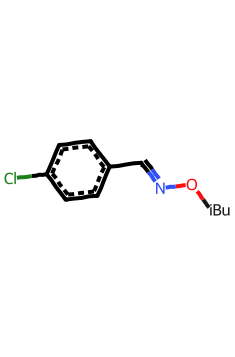 CCC(C)O/N=[C]/c1ccc(Cl)cc1